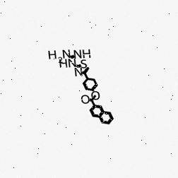 N=C(N)Nc1nc(C2C=CC(OC(=O)c3ccc4ccccc4c3)=CC2)cs1